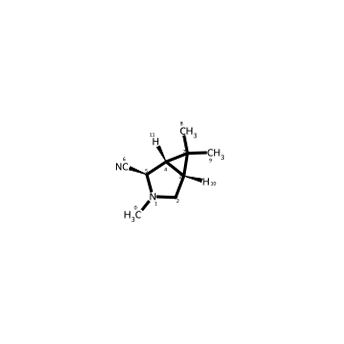 CN1C[C@@H]2[C@H]([C@@H]1C#N)C2(C)C